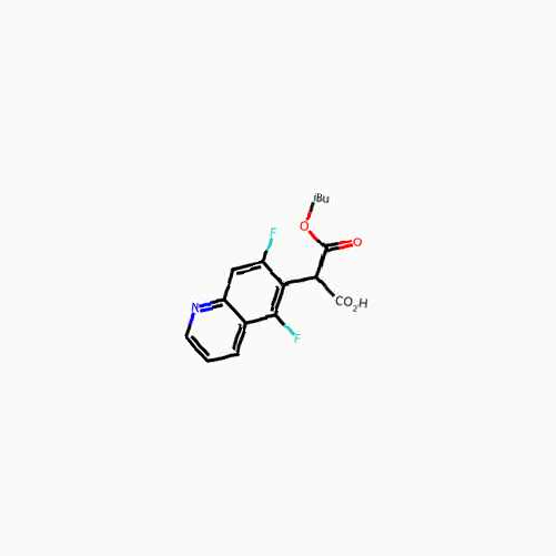 CCC(C)OC(=O)C(C(=O)O)c1c(F)cc2ncccc2c1F